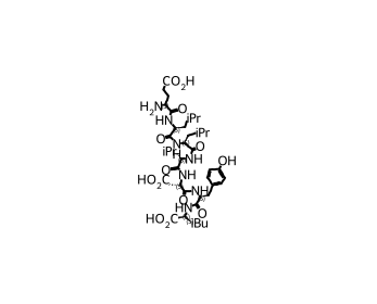 CC[C@H](C)[C@H](NC(=O)[C@H](Cc1ccc(O)cc1)NC(=O)[C@H](CC(=O)O)NC(=O)[C@@H](NC(=O)[C@H](CC(C)C)NC(=O)[C@H](CC(C)C)NC(=O)[C@@H](N)CCC(=O)O)C(C)C)C(=O)O